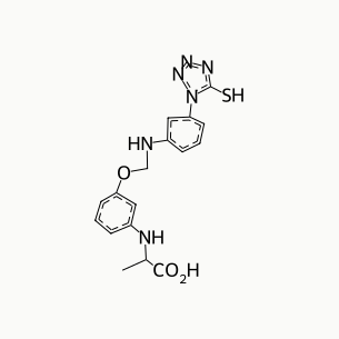 CC(Nc1cccc(OCNc2cccc(-n3nnnc3S)c2)c1)C(=O)O